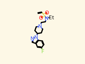 C=CS(=O)(=O)N(CC)CCN1CCC(n2ncc3cc(F)ccc32)CC1